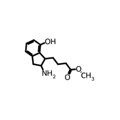 COC(=O)CCCC1c2c(O)cccc2CC1N